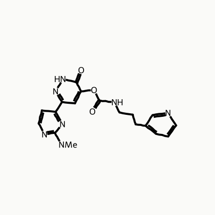 CNc1nccc(-c2cc(OC(=O)NCCCc3cccnc3)c(=O)[nH]n2)n1